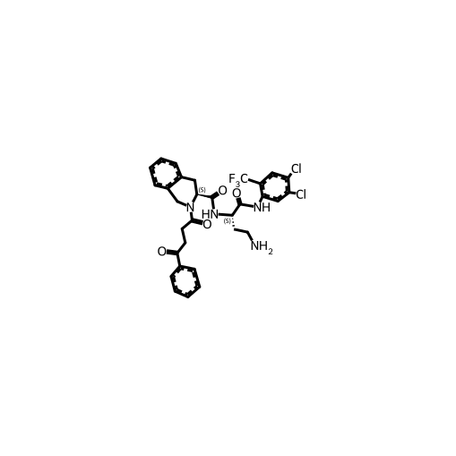 NCC[C@H](NC(=O)[C@@H]1Cc2ccccc2CN1C(=O)CCC(=O)c1ccccc1)C(=O)Nc1cc(Cl)c(Cl)cc1C(F)(F)F